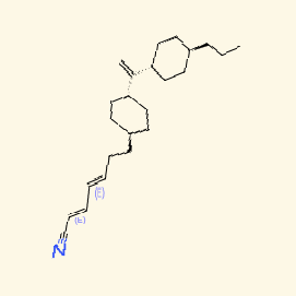 C=C([C@H]1CC[C@H](CCC)CC1)[C@H]1CC[C@H](CC/C=C/C=C/C#N)CC1